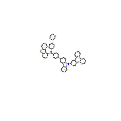 c1ccc(-c2ccc(N(c3ccc(-c4ccc5c(c4)c4ccccc4n5-c4ccc5c6ccccc6c6ccccc6c5c4)cc3)c3cccc4sc5ccccc5c34)cc2)cc1